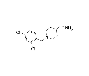 NCC1CCN(Cc2ccc(Cl)cc2Cl)CC1